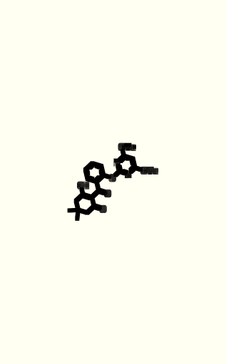 COc1cc(OC)nc(Oc2ccccc2C(=O)C2=C(O)CC(C)(C)CC2=O)n1